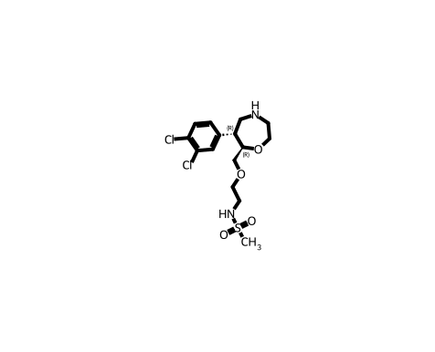 CS(=O)(=O)NCCOC[C@@H]1OCCNC[C@H]1c1ccc(Cl)c(Cl)c1